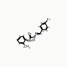 Cc1ccccc1NC(=O)N/N=C/c1ccc(F)cc1